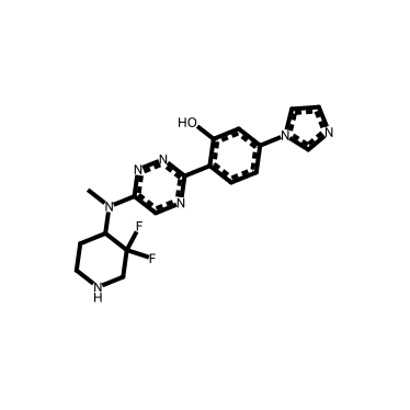 CN(c1cnc(-c2ccc(-n3ccnc3)cc2O)nn1)C1CCNCC1(F)F